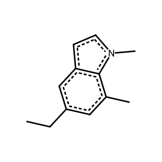 CCc1cc(C)c2c(ccn2C)c1